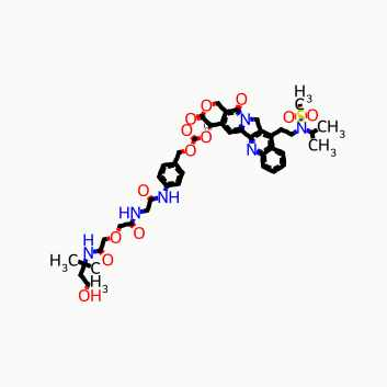 CC(C)N(CCc1c2c(nc3ccccc13)-c1cc3c(c(=O)n1C2)COC(=O)[C@H]3OC(=O)OCc1ccc(NC(=O)CNC(=O)COCC(=O)NC(C)(C)CCO)cc1)S(C)(=O)=O